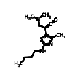 CCCCNc1nc(C)c(C(=C=O)CN(C)C)s1